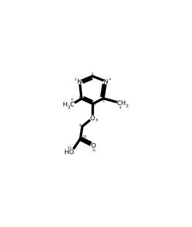 Cc1ncnc(C)c1OCC(=O)O